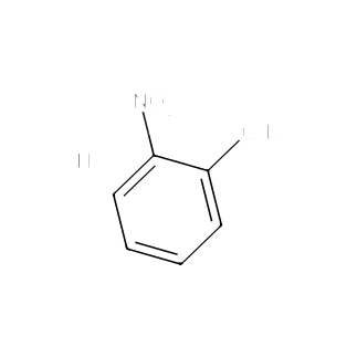 Cc1ccccc1[N+](=O)[O-].[H+]